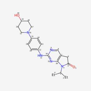 CCC(CC)N1C(=O)Cc2cnc(Nc3ccc(N4CCC(O)CC4)cc3)nc21